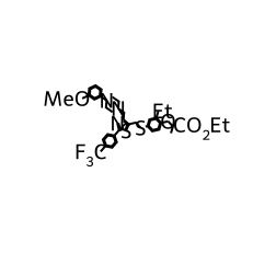 CCOC(=O)C(C)Oc1ccc(SCc2sc(-c3ccc(C(F)(F)F)cc3)nc2CN2CCN(c3cccc(OC)c3)CC2)cc1CC